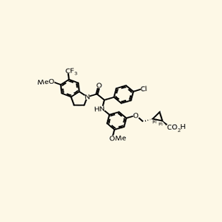 COc1cc(NC(C(=O)N2CCc3cc(OC)c(C(F)(F)F)cc32)c2ccc(Cl)cc2)cc(OC[C@@H]2C[C@H]2C(=O)O)c1